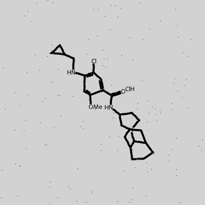 COc1cc(NCC2CC2)c(Cl)cc1C(=O)NC1CCN(C2C3CCCC2CCC3)C1.Cl